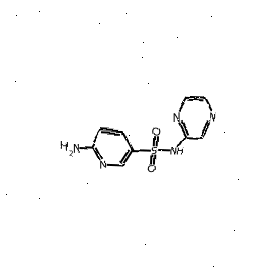 Nc1ccc(S(=O)(=O)Nc2cnccn2)cn1